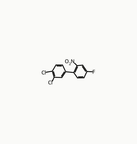 O=[N+]([O-])c1cc(F)ccc1-c1ccc(Cl)c(Cl)c1